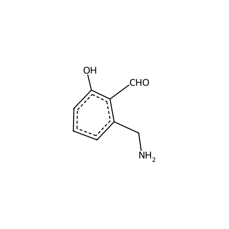 NCc1cccc(O)c1C=O